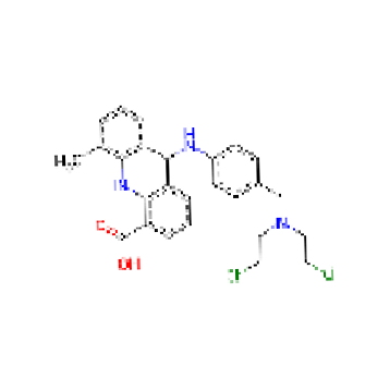 Cc1cccc2c1Nc1c(C(=O)O)cccc1C2Nc1ccc(CN(CCCl)CCCl)cc1